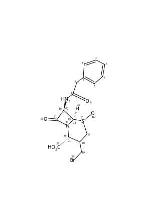 O=C(Cc1ccccc1)N[C@@H]1C(=O)N2[C@@H]1[S+]([O-])CC(CBr)[C@@H]2C(=O)O